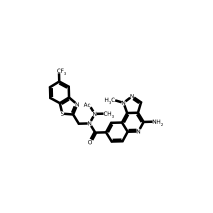 CC(=O)N(C)N(Cc1nc2cc(C(F)(F)F)ccc2s1)C(=O)c1ccc2nc(N)c3cnn(C)c3c2c1